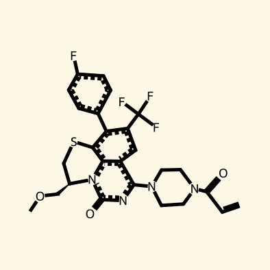 C=CC(=O)N1CCN(c2nc(=O)n3c4c(c(-c5ccc(F)cc5)c(C(F)(F)F)cc24)SC[C@@H]3COC)CC1